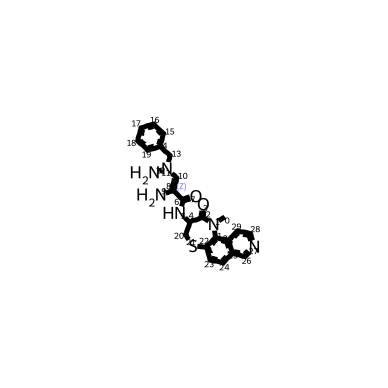 CN1C(=O)C(NC(=O)/C(N)=C/N(N)Cc2ccccc2)CSc2ccc3cnccc3c21